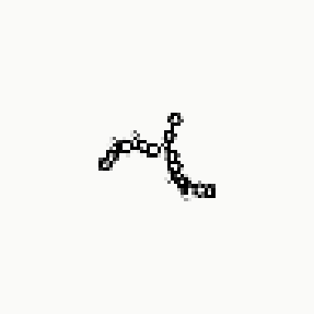 c1ccc(-c2ccc(N(c3ccc4cc5c(cc4c3)oc3cc4oc6cc7ccccc7cc6c4cc35)c3ccc4cc5c(cc4c3)oc3cc4oc6cc7ccccc7cc6c4cc35)cc2)cc1